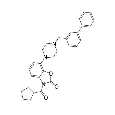 O=C(C1CCCC1)n1c(=O)oc2c(N3CCN(Cc4cccc(-c5ccccc5)c4)CC3)cccc21